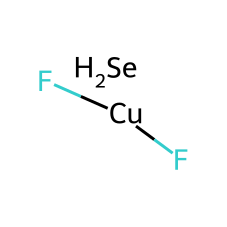 [F][Cu][F].[SeH2]